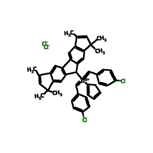 CC1=CC(C)(C)c2cc3c(cc21)-c1cc2c(cc1[CH]3[Zr+2](=[CH]c1ccc(Cl)cc1)(=[CH]c1ccc(Cl)cc1)[C]1=CC=CC1)C(C)(C)C=C2C.[Cl-].[Cl-]